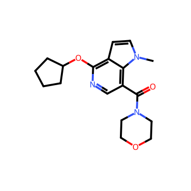 Cn1ccc2c(OC3CCCC3)ncc(C(=O)N3CCOCC3)c21